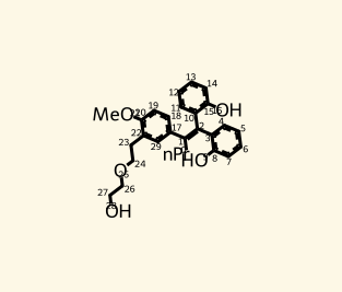 CCCC(=C(c1ccccc1O)c1ccccc1O)c1ccc(OC)c(CCOCCO)c1